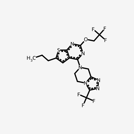 CCCc1cc2c(N3CCn4c(nnc4C(F)(F)F)C3)nc(OCC(F)(F)F)nc2s1